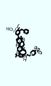 C=C(C)[C@@H]1CC[C@]2(NCCN3CCC(S(C)(=O)=O)CC3)CC[C@]3(C)[C@H](CC[C@@H]4[C@@]5(C)CC=C(C6=CC(Cc7ccccc7)[C@](CF)(C(=O)O)CC6)C(C)(C)[C@@H]5CC[C@]43C)[C@@H]12